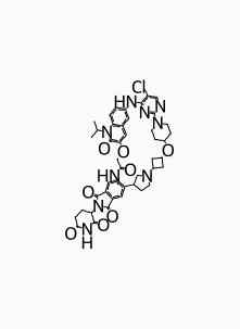 CNC(=O)COc1cc2cc(Nc3nc(N4CCC(O[C@H]5C[C@H](N6CCC(c7ccc8c(c7)C(=O)N(C7CCC(=O)NC7=O)C8=O)C6)C5)CC4)ncc3Cl)ccc2n(C(C)C)c1=O